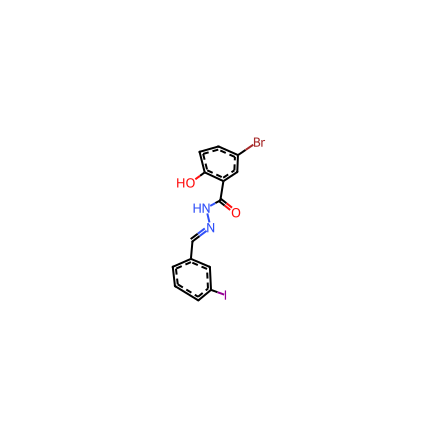 O=C(N/N=C/c1cccc(I)c1)c1cc(Br)ccc1O